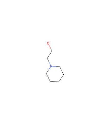 [O]CCN1CCCCC1